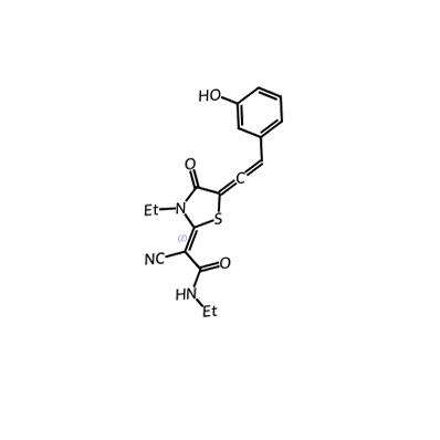 CCNC(=O)/C(C#N)=c1\sc(=C=Cc2cccc(O)c2)c(=O)n1CC